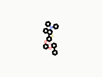 c1ccc(-c2cccc3c2Oc2cccc4c2B3c2cc3sc5cc(N(c6ccccc6)c6ccccc6)c6ccccc6c5c3cc2O4)cc1